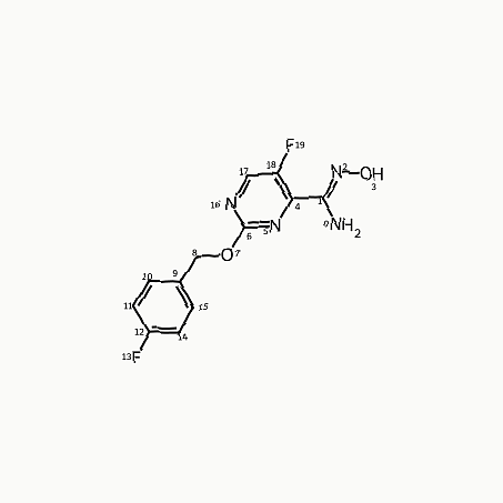 N/C(=N\O)c1nc(OCc2ccc(F)cc2)ncc1F